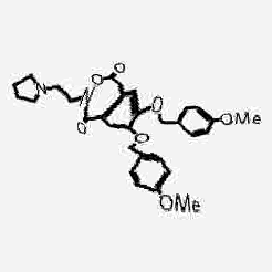 COc1ccc(COc2cc3c(=O)on(CCN4CCCC4)c(=O)c3cc2OCc2ccc(OC)cc2)cc1